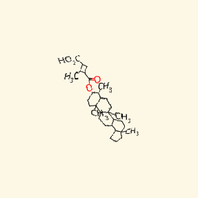 CC1C(C(=O)O)CC1C(=O)OC1CCC2(C)C(CCC3(C)C4CCC5(C)CCCC5C4CCC23)C1C